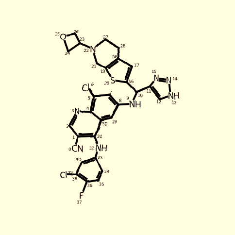 N#Cc1cnc2c(Cl)cc(NC(c3c[nH]nn3)c3cc4c(s3)CN(C3COC3)CC4)cc2c1Nc1ccc(F)c(Cl)c1